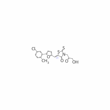 Cc1ccc(Cl)cc1-c1ccc(/C=C2\SC(=S)N(CC(=O)CO)C2=O)o1